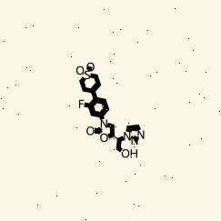 O=C1O[C@@H](C(CO)n2ccnn2)CN1c1ccc(C2=CCS(=O)(=O)CC2)c(F)c1